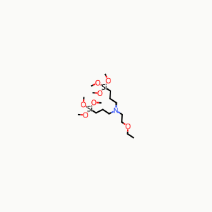 CCOCCN(CCC[Si](OC)(OC)OC)CCC[Si](OC)(OC)OC